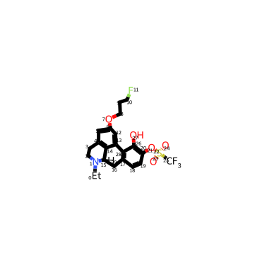 CCN1CCc2cc(OCCCF)cc3c2[C@H]1Cc1ccc(OS(=O)(=O)C(F)(F)F)c(O)c1-3